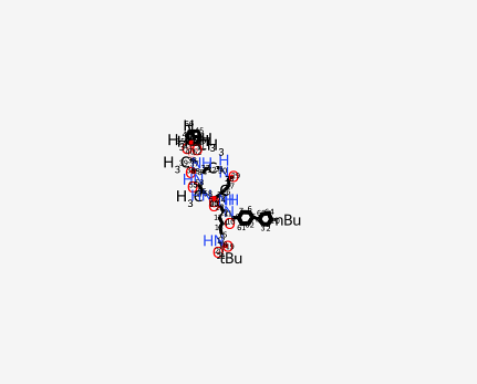 CCCCc1ccc(-c2ccc(C(=O)N[C@@H](CCCCNC(=O)OC(C)(C)C)C(=O)N[C@H]3CCC(=O)NCCC[C@@H](C(=O)N[C@@H](C)B4O[C@@H]5C[C@@H]6C[C@@H](C6(C)C)[C@]5(C)O4)NC(=O)[C@H](C)NC3=O)cc2)cc1